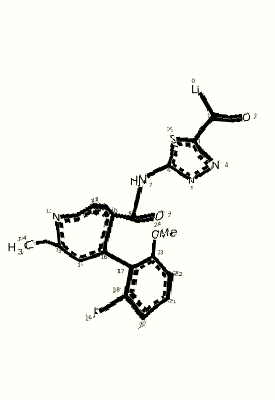 [Li][C](=O)c1nnc(NC(=O)c2cnc(C)cc2-c2c(F)cccc2OC)s1